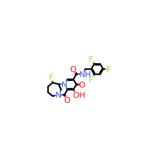 O=C(NCc1c(F)cc(F)cc1F)c1cn2c(c(O)c1=O)C(=O)N1CCCC(F)C2C1